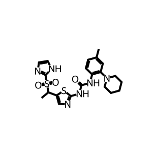 Cc1ccc(NC(=O)Nc2ncc(C(C)S(=O)(=O)c3ncc[nH]3)s2)c(N2CCCCC2)c1